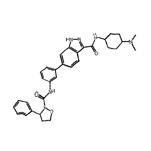 CN(C)C1CCC(NC(=O)c2n[nH]c3cc(-c4cccc(NC(=O)N5OCCC5c5ccccc5)c4)ccc23)CC1